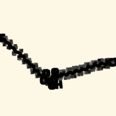 CCCCCCCCC=CCCCCCCCC(=O)OC(CO)COC(=O)CCCCCCCCCCCCCCCCC